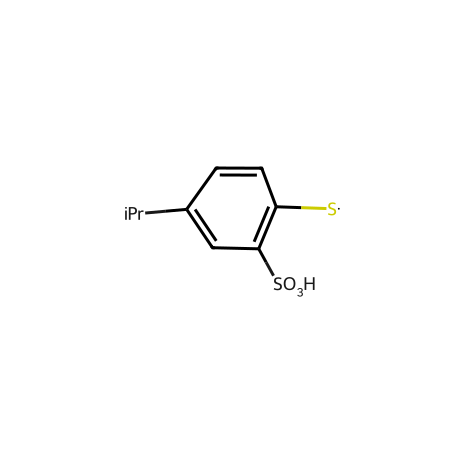 CC(C)c1ccc([S])c(S(=O)(=O)O)c1